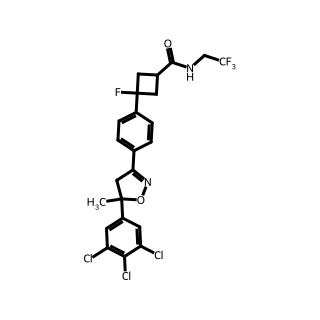 CC1(c2cc(Cl)c(Cl)c(Cl)c2)CC(c2ccc(C3(F)CC(C(=O)NCC(F)(F)F)C3)cc2)=NO1